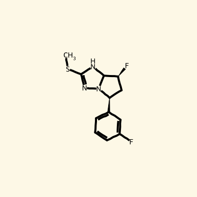 CSC1=NN2C(N1)[C@@H](F)C[C@H]2c1cccc(F)c1